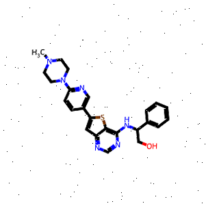 CN1CCN(c2ccc(-c3cc4ncnc(NC(CO)c5ccccc5)c4s3)cn2)CC1